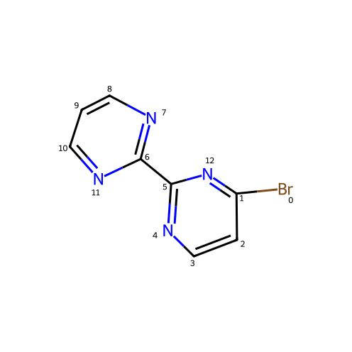 Brc1ccnc(-c2ncccn2)n1